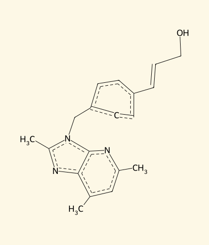 Cc1cc(C)c2nc(C)n(Cc3ccc(/C=C/CO)cc3)c2n1